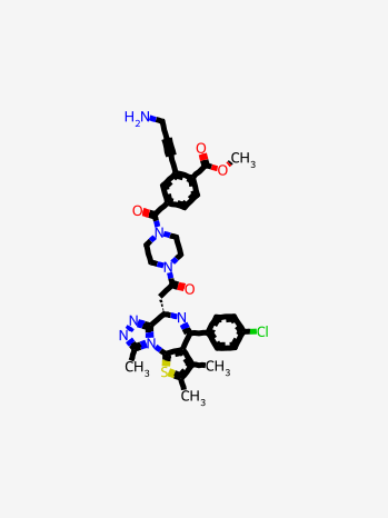 COC(=O)c1ccc(C(=O)N2CCN(C(=O)C[C@@H]3N=C(c4ccc(Cl)cc4)c4c(sc(C)c4C)-n4c(C)nnc43)CC2)cc1C#CCN